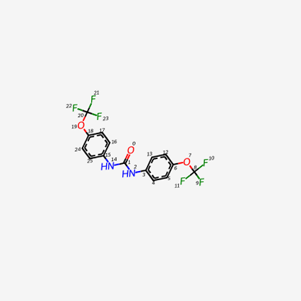 O=C(Nc1ccc(OC(F)(F)F)cc1)Nc1ccc(OC(F)(F)F)cc1